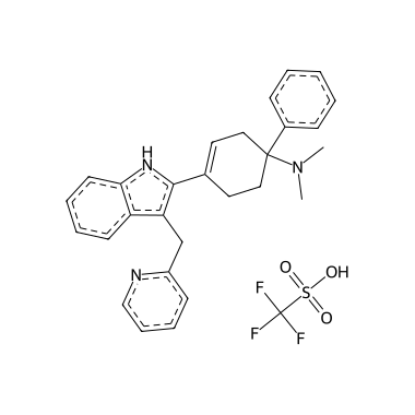 CN(C)C1(c2ccccc2)CC=C(c2[nH]c3ccccc3c2Cc2ccccn2)CC1.O=S(=O)(O)C(F)(F)F